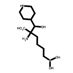 NC(CCCCB(O)O)(C(=O)O)C(O)C1CCNCC1